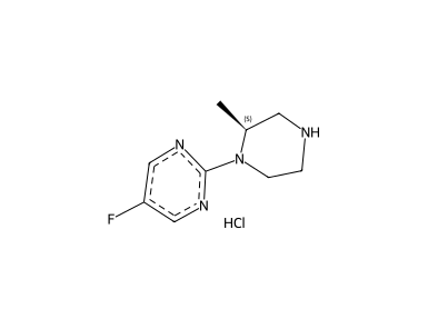 C[C@H]1CNCCN1c1ncc(F)cn1.Cl